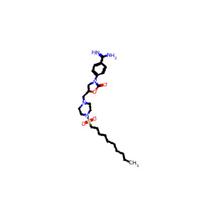 CCCCCCCCCCS(=O)(=O)N1CCN(CC2CN(c3ccc(C(=N)N)cc3)C(=O)O2)CC1